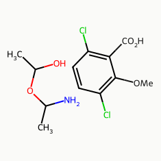 CC(N)OC(C)O.COc1c(Cl)ccc(Cl)c1C(=O)O